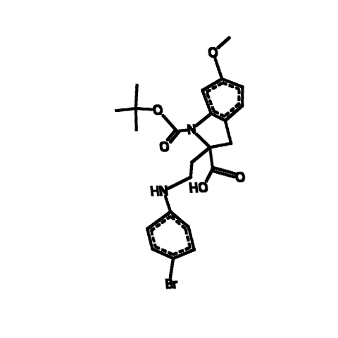 COc1ccc2c(c1)N(C(=O)OC(C)(C)C)C(CCNc1ccc(Br)cc1)(C(=O)O)C2